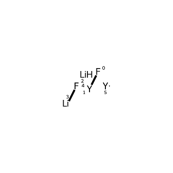 [F][Y].[LiH].[Li][F].[Y]